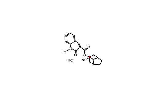 CC(C)n1c(=O)c(C(=O)OC2CC3CCC(C2)N3CC#N)cc2ccccc21.Cl